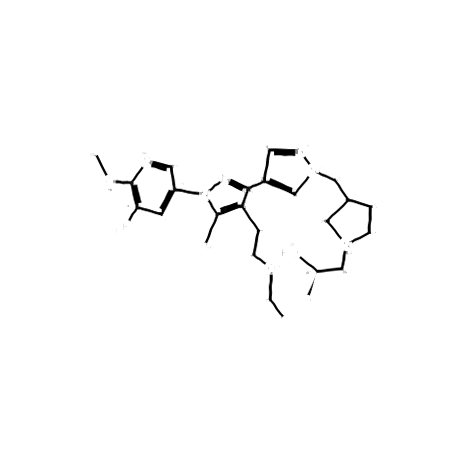 CCOCCc1c(-c2cnn(CC3CCN(C[C@@H](C)O)C3)c2)nn(-c2cnc(OC)c(F)c2)c1C